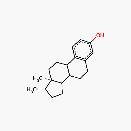 C[C@H]1CCC2C3CCc4cc(O)ccc4C3CC[C@@]21C